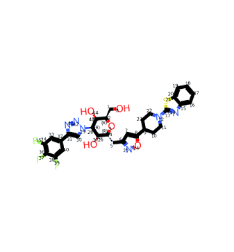 OC[C@H]1O[C@H](Cc2cc(C3CCN(c4nc5ccccc5s4)CC3)on2)[C@H](O)[C@@H](n2cc(-c3cc(F)c(F)c(F)c3)nn2)[C@H]1O